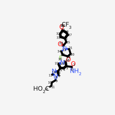 NC(=O)c1cc(-c2cn(CCCC(=O)O)cn2)cnc1O[C@@H]1CCN(C(=O)Cc2ccc(OC(F)(F)F)cc2)C[C@H]1F